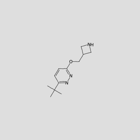 CC(C)(C)c1ccc(OCC2CNC2)nn1